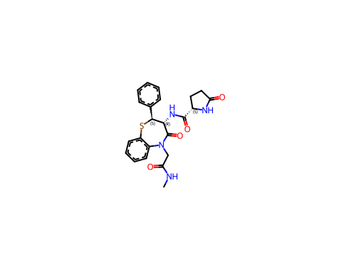 CNC(=O)CN1C(=O)[C@@H](NC(=O)[C@@H]2CCC(=O)N2)[C@H](c2ccccc2)Sc2ccccc21